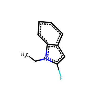 CCn1c(F)cc2ccccc21